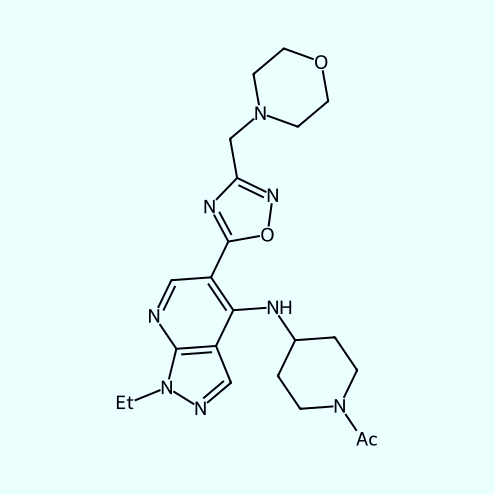 CCn1ncc2c(NC3CCN(C(C)=O)CC3)c(-c3nc(CN4CCOCC4)no3)cnc21